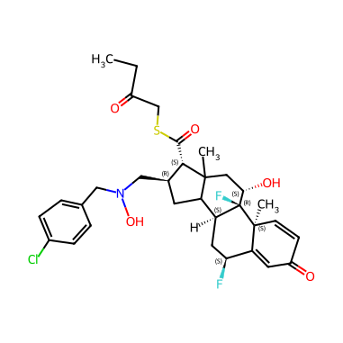 CCC(=O)CSC(=O)[C@H]1[C@H](CN(O)Cc2ccc(Cl)cc2)CC2[C@@H]3C[C@H](F)C4=CC(=O)C=C[C@]4(C)[C@@]3(F)[C@@H](O)CC21C